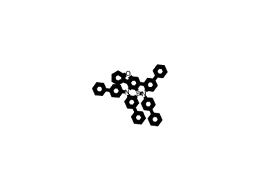 c1ccc(-c2ccc(N3B4c5cc(-c6ccccc6)ccc5N(c5ccc(-c6ccccc6)cc5)c5c4c(cc4oc6ccccc6c54)-c4cc(-c5ccccc5)ccc43)cc2)cc1